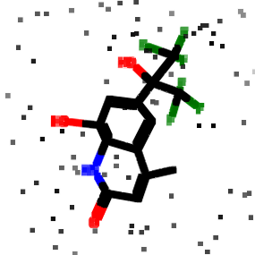 Cc1cc(=O)[nH]c2c(O)cc(C(O)(C(F)(F)F)C(F)(F)F)cc12